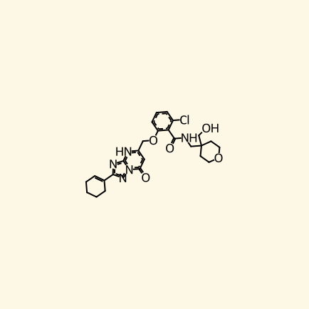 O=C(NCC1(CO)CCOCC1)c1c(Cl)cccc1OCc1cc(=O)n2nc(C3=CCCCC3)nc2[nH]1